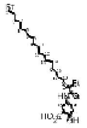 CCC=CCC=CCC=CCC=CCC=CCCCCSC(CC)C(=O)Nc1ccc(O)c(C(=O)O)c1